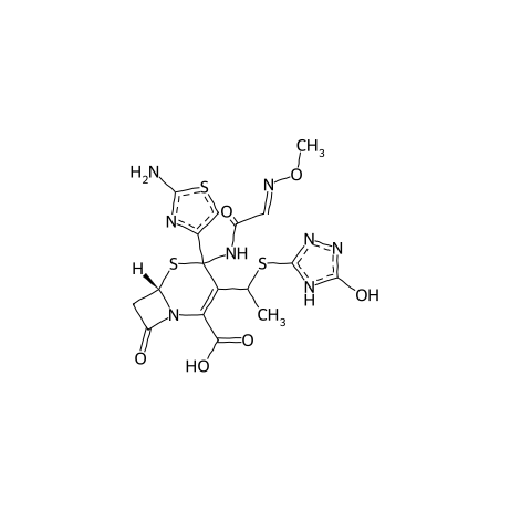 CON=CC(=O)NC1(c2csc(N)n2)S[C@H]2CC(=O)N2C(C(=O)O)=C1C(C)Sc1nnc(O)[nH]1